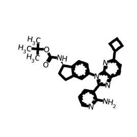 CC(C)(C)OC(=O)N[C@H]1CCc2cc(-n3c(-c4cccnc4N)nc4ccc(C5CCC5)nc43)ccc21